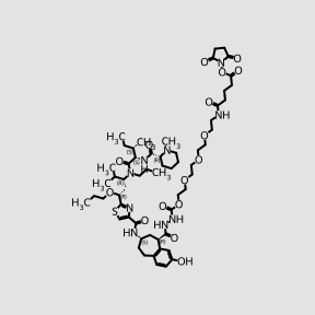 CCCO[C@H](C[C@H](C(C)C)N(CCC)C(=O)[C@@H](NC(=O)[C@H]1CCCCN1C)[C@@H](C)CC)c1nc(C(=O)N[C@H]2CCc3ccc(O)cc3[C@H](C(=O)NNC(=O)OCCOCCOCCOCCNC(=O)CCCC(=O)ON3C(=O)CCC3=O)C2)cs1